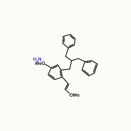 COC=Cc1ccc(OC)cc1CC(Cc1ccccc1)Cc1ccccc1.N